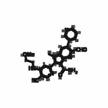 COCCNc1cc(-c2c(C(N)=O)c3nc(C=O)c(-c4cccnc4)cc3n2C)ncc1C#N